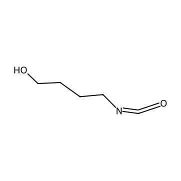 O=C=NCCCCO